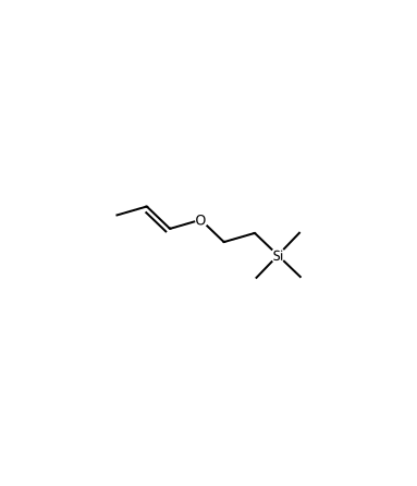 CC=COCC[Si](C)(C)C